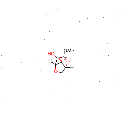 CO[C@@H]1O[C@@H]2CO[C@@H]([C@H]2O)[C@H]1O